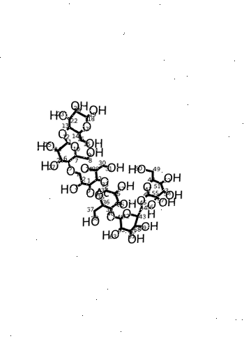 CC(=O)OC1C(O)C(O[C@@H]2C(CO)O[C@H](OC3C(CO)OC(O)C(O)C3O)C(O)[C@@H]2O)OC(CO)C1O[C@H]1OC(CO)[C@H](OC2OC(COC3OC(CO)C(O)C(O)C3(O)O)C(O)C(O)C2O)[C@@H](O)C1O